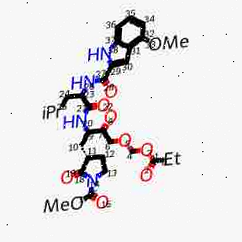 CCC(=O)OCOCC(=O)C(C[C@@H]1CCN(C(=O)OC)C1=O)NC(=O)C(CC(C)C)NC(=O)c1cc2c(OC)cccc2[nH]1